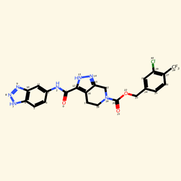 O=C(Nc1ccc2[nH]nnc2c1)c1[nH]nc2c1CCN(C(=O)OCc1ccc(C(F)(F)F)c(Cl)c1)C2